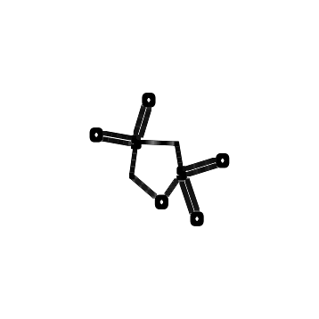 O=S1(=O)COS(=O)(=O)C1